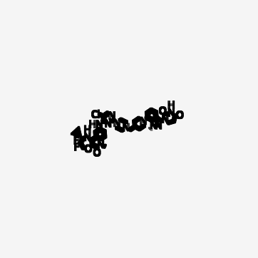 Cn1nc(N2CCC(=O)NC2=O)c2cccc(N3CCC(CN4CCN(c5ncc(Cl)c(Nc6ccc7c(c6)c6c(c(=O)n7C)OCC(F)(F)[C@H](C7CC7)N6)n5)CC4)CC3)c21